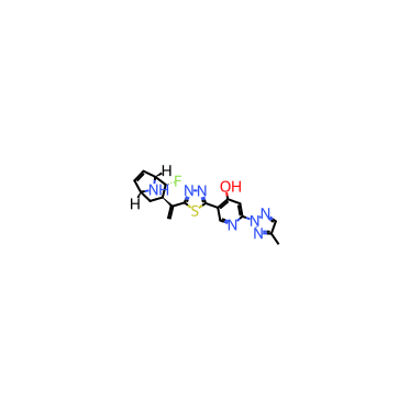 C=C(c1nnc(-c2cnc(-n3ncc(C)n3)cc2O)s1)[C@H]1C[C@@H]2C=C[C@@H](N2)[C@@H]1F